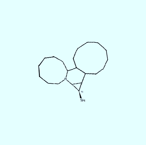 S[C@@H]1C2C3CCCCCCCCC3C3CCCCCCCN3C21